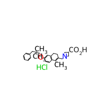 CC1=C(CN2CC(C(=O)O)C2)CCc2cc(OCC(C)(C)Cc3ccccc3)ccc21.Cl